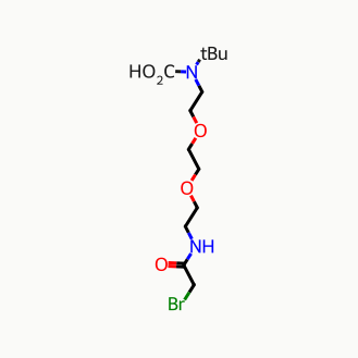 CC(C)(C)N(CCOCCOCCNC(=O)CBr)C(=O)O